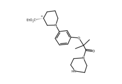 CCOC(=O)[C@@H]1CCCN(c2cccc(OC(C)(C)C(=O)N3CCNCC3)c2)C1